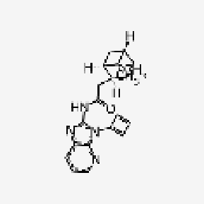 CC1(C)[C@H]2CC[C@@H](CC(=O)Nc3nc4cccnc4n3C3=CC=C3)[C@H]1C2